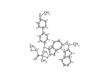 CCOC(=O)C(C)(C)Cc1cc2cc(OC(C)c3nc4ccccc4s3)ccc2n1Cc1ccc(-c2ccc(OC)nc2)cc1